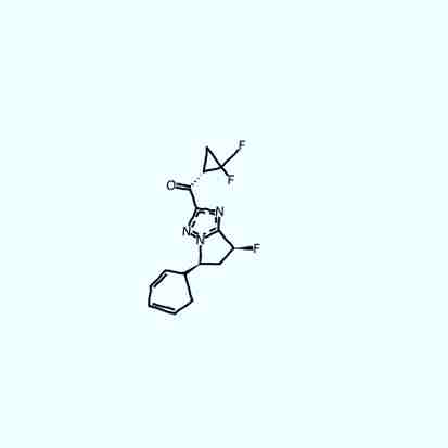 O=C(c1nc2n(n1)[C@H](C1C=CC=CC1)C[C@@H]2F)[C@@H]1CC1(F)F